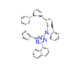 c1cc2cc(c1)-c1cccc(c1)-c1nc(-c3cccc4ccccc34)nc(n1)-n1c3ccccc3c3ccc(cc31)-c1cccc-2c1